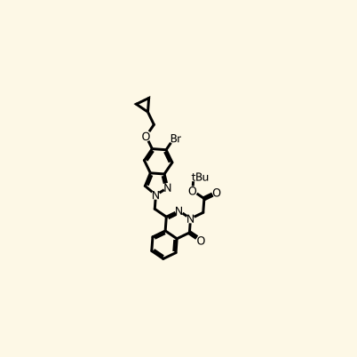 CC(C)(C)OC(=O)Cn1nc(Cn2cc3cc(OCC4CC4)c(Br)cc3n2)c2ccccc2c1=O